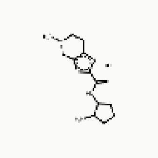 CN1CCc2nc(C(=O)NC3CCCC3N)sc2C1.Cl